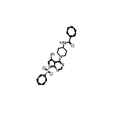 CC(C)c1cn(S(=O)(=O)c2ccccc2)c2ncnc(N3CCC(NC(=O)c4ccccc4)CC3)c12